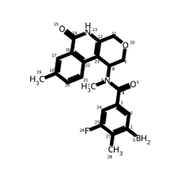 Bc1cc(C(=O)N(C)C2COCc3[nH]c(=O)c4cc(C)ccc4c32)cc(F)c1C